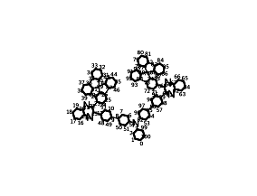 c1ccc(N(c2ccc(-c3ccc(-c4nc5ccccc5nc4-c4ccc5c(c4)C4(c6ccccc6-c6ccccc64)c4ccccc4-5)cc3)cc2)c2ccc(-c3ccc(-c4nc5ccccc5nc4-c4ccc5c(c4)C4(c6ccccc6-c6ccccc64)c4ccccc4-5)cc3)cc2)cc1